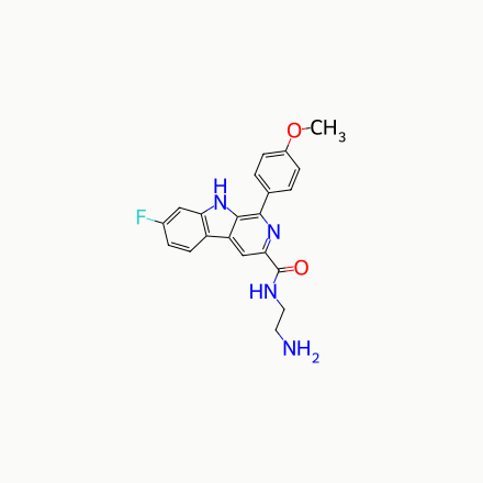 COc1ccc(-c2nc(C(=O)NCCN)cc3c2[nH]c2cc(F)ccc23)cc1